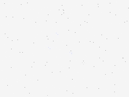 CSC1=NC(c2cnccn2)CC1